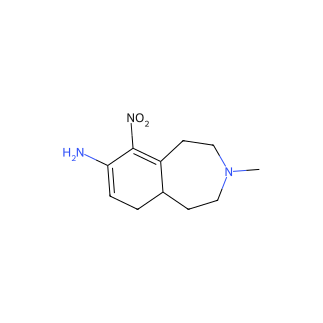 CN1CCC2=C([N+](=O)[O-])C(N)=CCC2CC1